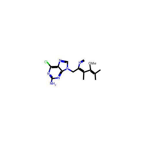 C=N/C(Cn1cnc2c(Cl)nc(N)nc21)=C(/C)C(OC)=C(C)C